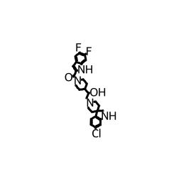 O=C(c1cc2cc(F)c(F)cc2[nH]1)N1CCC(C(O)CN2CCC3(CC2)CNc2cc(Cl)ccc23)CC1